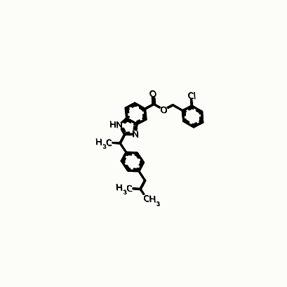 CC(C)Cc1ccc(C(C)c2nc3cc(C(=O)OCc4ccccc4Cl)ccc3[nH]2)cc1